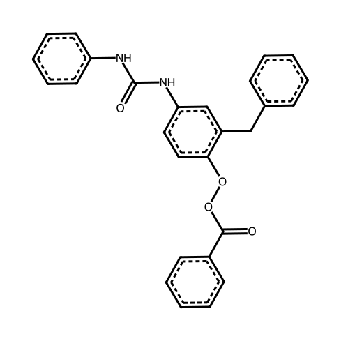 O=C(Nc1ccccc1)Nc1ccc(OOC(=O)c2ccccc2)c(Cc2ccccc2)c1